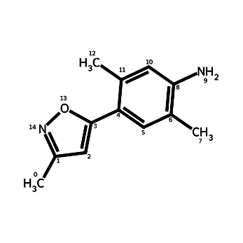 Cc1cc(-c2cc(C)c(N)cc2C)on1